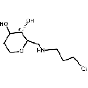 CCCCNCC1OCCC(O)[C@@H]1O